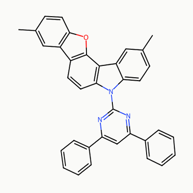 Cc1ccc2oc3c(ccc4c3c3cc(C)ccc3n4-c3nc(-c4ccccc4)cc(-c4ccccc4)n3)c2c1